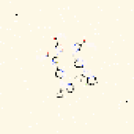 NC(=O)C1=CN(c2sc(-c3ccc(NCC4(c5ncccc5F)CCC4)nn3)nc2C(N)=O)CO1.NC(=O)c1cnn(Cc2ccc(NC3(c4ncccc4F)CCC3)nn2)c1